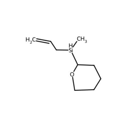 C=CC[SiH](C)C1CCCCO1